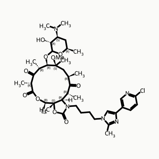 CC[C@H]1OC(=O)[C@H](C)C(=O)[C@H](C)[C@@H](OC2O[C@H](C)C[C@H](N(C)C)[C@H]2O)[C@@](C)(OC)C[C@@H](C)C(=O)[C@H](C)[C@H]2N(CCCCn3cc(-c4ccc(Cl)nc4)nc3C)C(=O)O[C@]12C